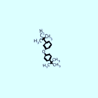 CC(C)(C)c1ccc(Oc2cccc(C(C)(C)C)c2)cc1